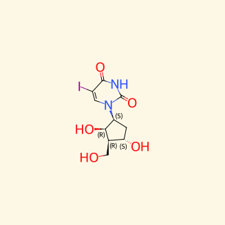 O=c1[nH]c(=O)n([C@H]2C[C@H](O)[C@@H](CO)[C@H]2O)cc1I